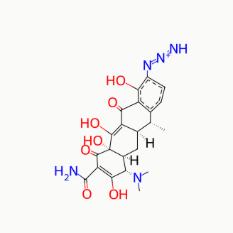 C[C@H]1c2ccc(N=[N+]=N)c(O)c2C(=O)C2=C(O)[C@]3(O)C(=O)C(C(N)=O)=C(O)[C@@H](N(C)C)[C@@H]3C[C@@H]21